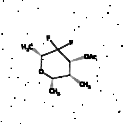 CC(=O)O[C@@H]1[C@H](C)[C@H](C)O[C@H](C)C1(F)F